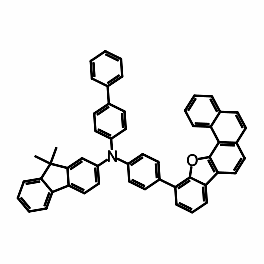 CC1(C)c2ccccc2-c2ccc(N(c3ccc(-c4ccccc4)cc3)c3ccc(-c4cccc5c4oc4c5ccc5ccc6ccccc6c54)cc3)cc21